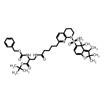 CC1=C2C(=CC=C(S(=O)(=O)N3CCCc4ccc(CCCCC(=O)NCC(NC(=O)OCc5ccccc5)C(=O)OC(C)(C)C)nc43)C2(C)C)OC1(C)C